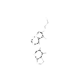 Cc1c(OCCN)cn2ncnc(Oc3cnc4c(c3F)CCN4)c12